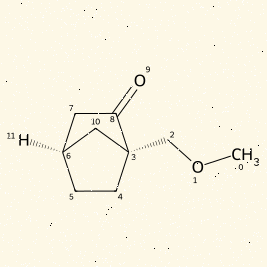 COC[C@@]12CC[C@@H](CC1=O)C2